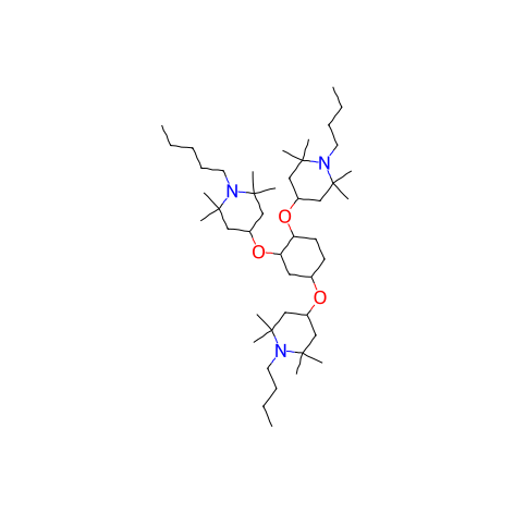 CCCCCN1C(C)(C)CC(OC2CC(OC3CC(C)(C)N(CCCC)C(C)(C)C3)CCC2OC2CC(C)(C)N(CCCC)C(C)(C)C2)CC1(C)C